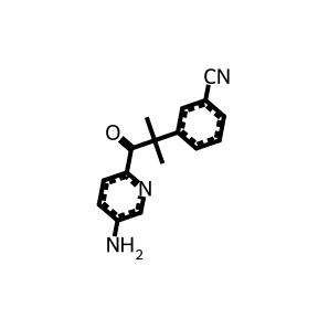 CC(C)(C(=O)c1ccc(N)cn1)c1cccc(C#N)c1